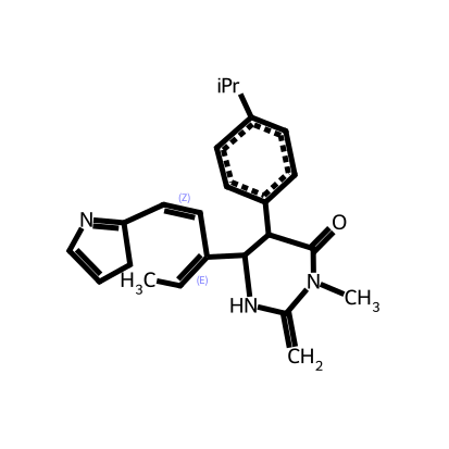 C=C1NC(C(/C=C\C2=NC=CC2)=C/C)C(c2ccc(C(C)C)cc2)C(=O)N1C